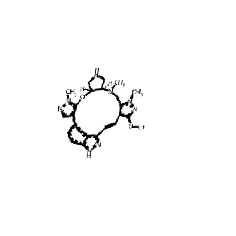 CCOc1nn(C)c2c1/C=C/c1n[nH]c3ccc(cc13)-c1cnn(C)c1O[C@@H]1CNC[C@H]1N(C)C2